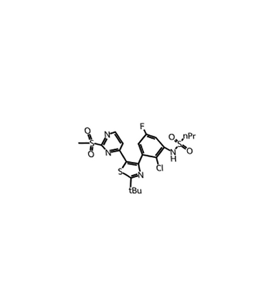 CCCS(=O)(=O)Nc1cc(F)cc(-c2nc(C(C)(C)C)sc2-c2ccnc(S(C)(=O)=O)n2)c1Cl